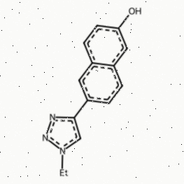 CCn1cc(-c2ccc3cc(O)ccc3c2)nn1